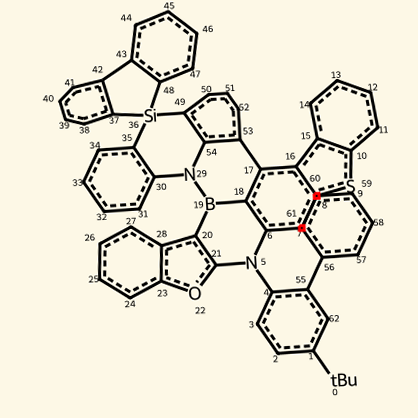 CC(C)(C)c1ccc(N2c3cc4sc5ccccc5c4c4c3B(c3c2oc2ccccc32)N2c3ccccc3[Si]3(c5ccccc5-c5ccccc53)c3cccc-4c32)c(-c2ccccc2)c1